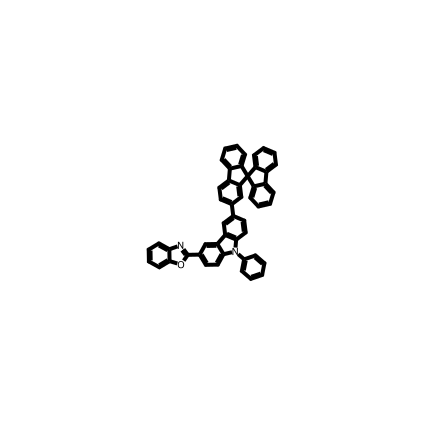 c1ccc(-n2c3ccc(-c4ccc5c(c4)C4(c6ccccc6-c6ccccc64)c4ccccc4-5)cc3c3cc(-c4nc5ccccc5o4)ccc32)cc1